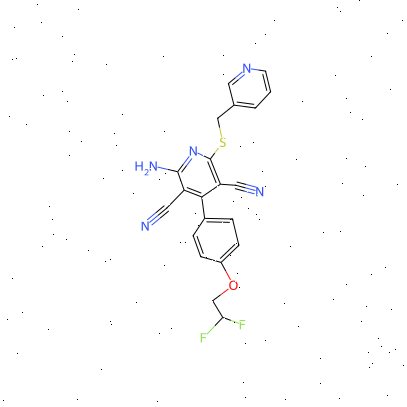 N#Cc1c(N)nc(SCc2cccnc2)c(C#N)c1-c1ccc(OCC(F)F)cc1